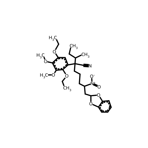 CCOc1cc(C(C#N)(CCCC(CC2Oc3ccccc3O2)[N+](=O)[O-])C(C)CC)c(OCC)c(OC)c1OC